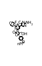 CCCOc1ccc([C@@H]2OC(=O)N(c3cc(-c4cnc(N)nc4C(F)(F)F)nc(N4CCOCC4)n3)[C@H]2CO)cc1